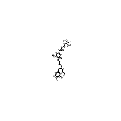 CCCCC(CCCOc1c(F)cc(CNCCCP(=O)(O)O)cc1OC)Cc1ccc(C)c(C)c1